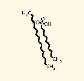 CCCCCCCCCCCCCCCC.CCCCCCCCCCP(=O)(O)O